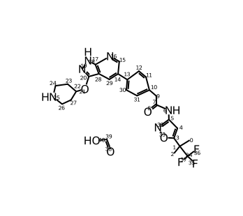 CC(C)(c1cc(NC(=O)Cc2ccc(-c3cnc4[nH]nc(OC5CCNCC5)c4c3)cc2)no1)C(F)(F)F.O=CO